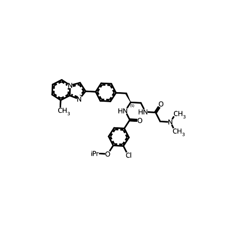 Cc1cccn2cc(-c3ccc(C[C@@H](CNC(=O)CN(C)C)NC(=O)c4ccc(OC(C)C)c(Cl)c4)cc3)nc12